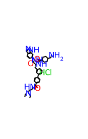 CCN(CC)CCNC(=O)c1ccc(-c2cccc(C[C@H](NC(=O)C3CCC(CN)CC3)C(=O)Nc3ccc4cn[nH]c4c3)c2)cc1.Cl